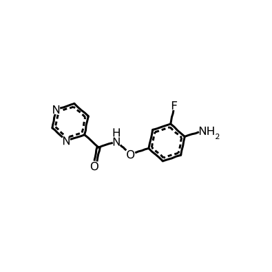 Nc1ccc(ONC(=O)c2ccncn2)cc1F